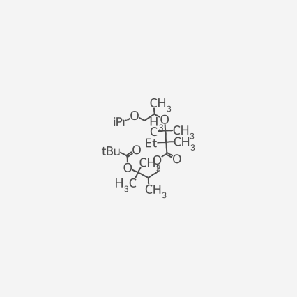 CCC(C)(C(=O)OCC(C)C(C)(C)OC(=O)C(C)(C)C)C(C)(C)OC(C)COC(C)C